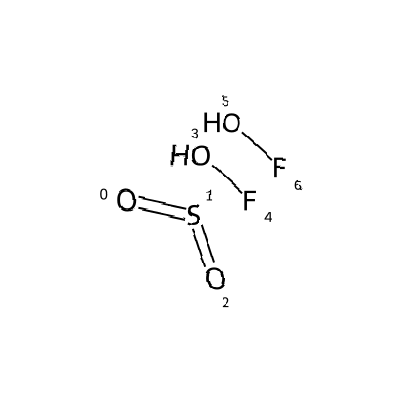 O=S=O.OF.OF